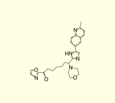 Cc1ccc2cc(-c3cnc(C(CCCCCC(=O)c4ncco4)N4CCOCC4)[nH]3)ccc2n1